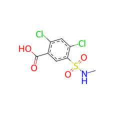 CNS(=O)(=O)c1cc(C(=O)O)c(Cl)cc1Cl